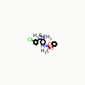 CC(Oc1ccccc1)C(=O)NC1CCC(Cc2cccc(Cl)c2)(N(C)C)CC1